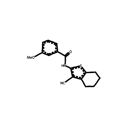 COc1cccc(C(=O)Nc2sc3c(c2C#N)CCCC3)c1